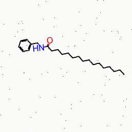 CCCCCCCCCCCCCCCC(=O)NCc1ccccc1